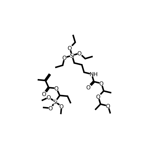 C=C(C)C(=O)OC(CC)[Si](OC)(OC)OC.CCO[Si](CCCNC(=O)OC(C)OC(C)OC)(OCC)OCC